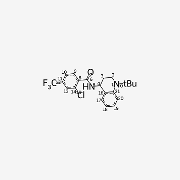 CC(C)(C)N1CCC(NC(=O)c2ccc(C(F)(F)F)cc2Cl)c2ccccc21